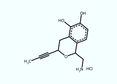 CC#CC1Cc2c(ccc(O)c2O)C(CN)O1.Cl